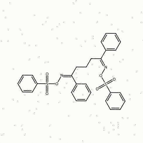 O=S(=O)(ON=C(CCCC(=NOS(=O)(=O)c1ccccc1)c1ccccc1)c1ccccc1)c1ccccc1